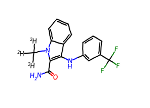 [2H]C([2H])([2H])n1c(C(N)=O)c(Nc2cccc(C(F)(F)F)c2)c2ccccc21